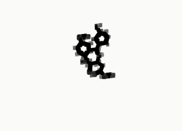 COC(=O)C[C@@H]1N=C(c2cccc(F)c2)c2cc(OC)ccc2NC1=O